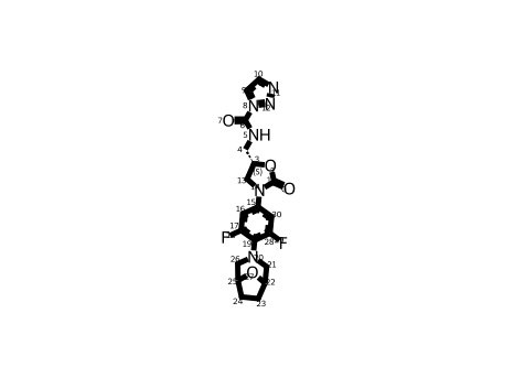 O=C1O[C@@H](CNC(=O)n2ccnn2)CN1c1cc(F)c(N2CC3CCC(C2)O3)c(F)c1